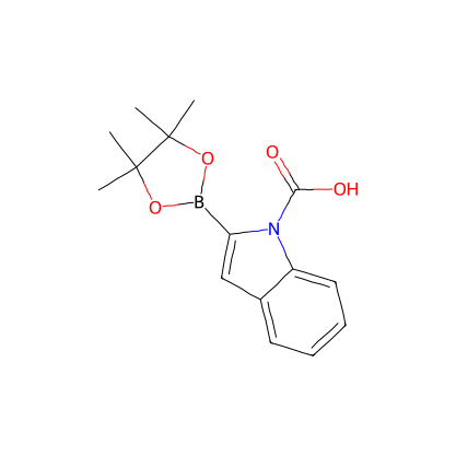 CC1(C)OB(c2cc3ccccc3n2C(=O)O)OC1(C)C